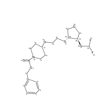 O=C(OCc1ccccc1)N1CCC(OCCO[C@@H]2COC[C@H]2OC(F)F)CC1